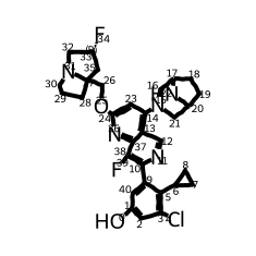 Oc1cc(Cl)c(C2CC2)c(-c2ncc3c(N4CC5CCC(C4)N5)cc(OCC45CCCN4C[C@H](F)C5)nc3c2F)c1